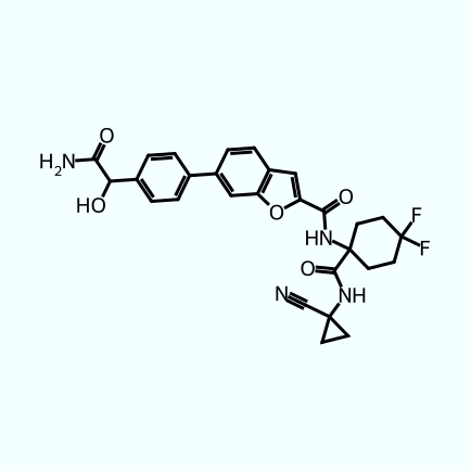 N#CC1(NC(=O)C2(NC(=O)c3cc4ccc(-c5ccc(C(O)C(N)=O)cc5)cc4o3)CCC(F)(F)CC2)CC1